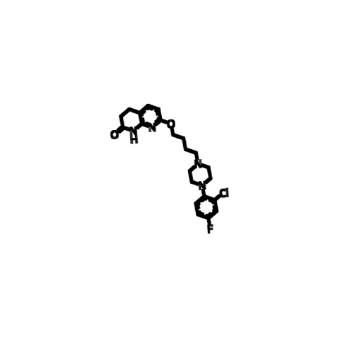 O=C1CCc2ccc(OCCCCN3CCN(c4ccc(F)cc4Cl)CC3)nc2N1